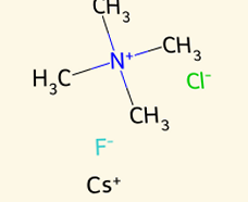 C[N+](C)(C)C.[Cl-].[Cs+].[F-]